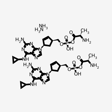 C[C@H](N)C(=O)OP(=O)(O)OC[C@@H]1C=C[C@H](n2cnc3c(NC4CC4)nc(N)nc32)C1.C[C@H](N)C(=O)OP(=O)(O)OC[C@@H]1C=C[C@H](n2cnc3c(NC4CC4)nc(N)nc32)C1.N.N